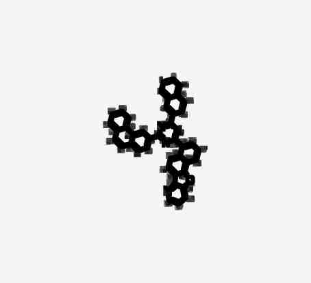 c1ccc2cc(-c3nc(-c4ccc5ccc6ccccc6c5c4)nc(-c4cccc5c4ccc4c6ncccc6oc54)n3)ccc2c1